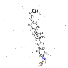 CCCCc1ccc(C23CCC(CCc4ccc(N=C=S)cc4)(CC2)CC3)cc1